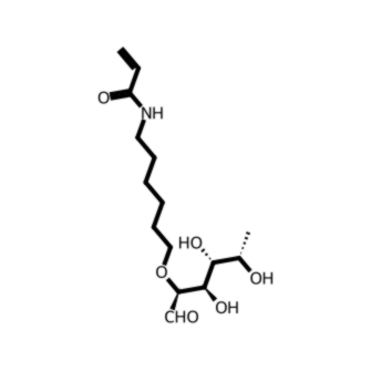 C=CC(=O)NCCCCCCO[C@H](C=O)[C@H](O)[C@H](O)[C@H](C)O